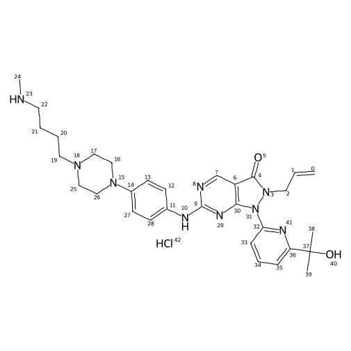 C=CCn1c(=O)c2cnc(Nc3ccc(N4CCN(CCCCNC)CC4)cc3)nc2n1-c1cccc(C(C)(C)O)n1.Cl